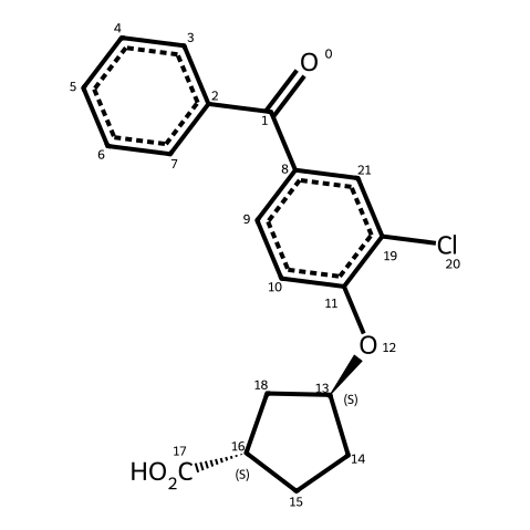 O=C(c1ccccc1)c1ccc(O[C@H]2CC[C@H](C(=O)O)C2)c(Cl)c1